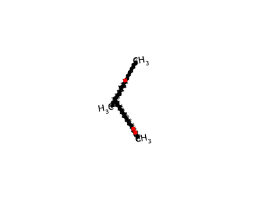 CCCCCCCCCCCCCCCCCCCC=CC(=CCCCCCCCCCCCCCCCCCCC)CCC